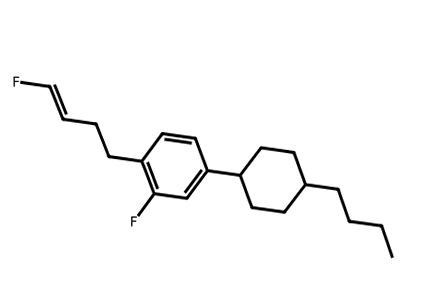 CCCCC1CCC(c2ccc(CC/C=C/F)c(F)c2)CC1